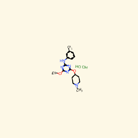 CCOc1nc(Nc2cccc(C(F)(F)F)c2)nc(OC2CCN(C)CC2)n1.Cl.Cl